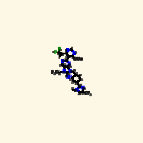 COc1ncnc(C2CC2(F)F)c1-c1ncc2c(n1)n(Cc1ccc(-c3nc(C(F)(F)F)cn3C)cc1)c(=N)n2CC(F)(F)F